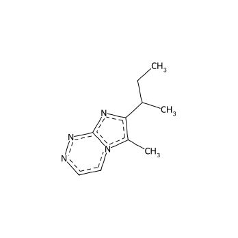 CCC(C)c1nc2nnccn2c1C